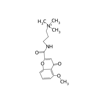 COc1cccc2oc(C(=O)NCCC[N+](C)(C)C)cc(=O)c12